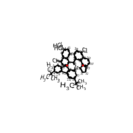 CC(C)(C)c1ccc2c(c1)-c1cc(C(C)(C)C)c[c]([Zr]([C]3=CC=CC3)=[C](c3ccc(Cl)c4ccccc34)c3ccc(Cl)c4ccccc34)c1C2.Cl.Cl